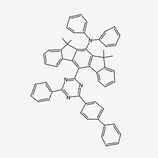 CC1(C)c2ccccc2-c2c(-c3nc(-c4ccccc4)nc(-c4ccc(-c5ccccc5)cc4)n3)c3c(c(N(c4ccccc4)c4ccccc4)c21)C(C)(C)c1ccccc1-3